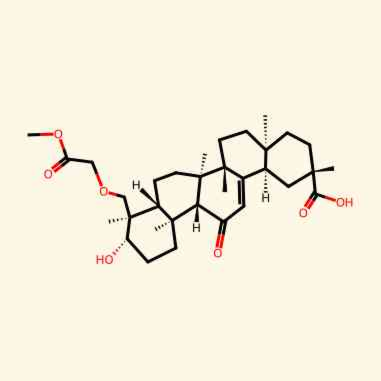 COC(=O)COC[C@@]1(C)[C@@H]2CC[C@]3(C)[C@H](C(=O)C=C4[C@@H]5C[C@@](C)(C(=O)O)CC[C@]5(C)CC[C@]43C)[C@@]2(C)CC[C@@H]1O